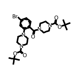 CC(C)(C)OC(=O)N1CCN(C(=O)c2ccc(Br)cc2N2CCN(C(=O)OC(C)(C)C)CC2)CC1